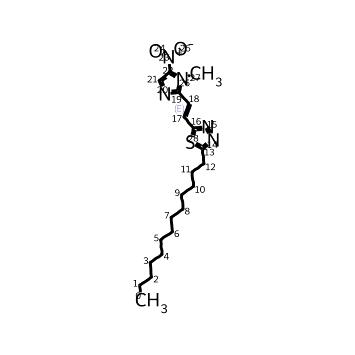 CCCCCCCCCCCCCc1nnc(/C=C/c2ncc([N+](=O)[O-])n2C)s1